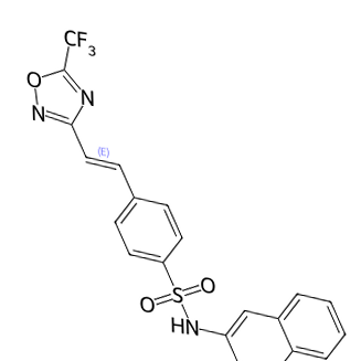 O=S(=O)(Nc1ccc2ccccc2c1)c1ccc(/C=C/c2noc(C(F)(F)F)n2)cc1